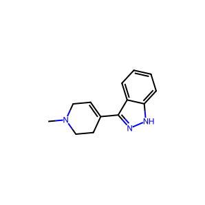 CN1CC=C(c2n[nH]c3ccccc23)CC1